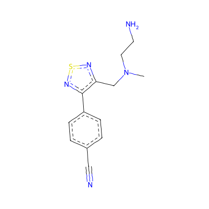 CN(CCN)Cc1nsnc1-c1ccc(C#N)cc1